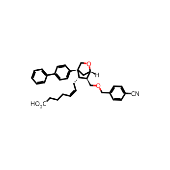 N#Cc1ccc(COC[C@@H]2[C@@H]3C[C@@](c4ccc(-c5ccccc5)cc4)(CO3)[C@H]2C/C=C\CCCC(=O)O)cc1